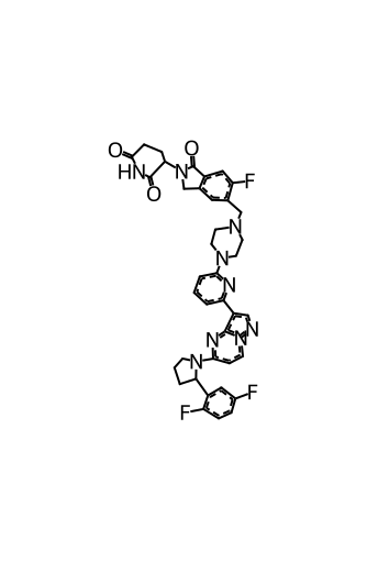 O=C1CCC(N2Cc3cc(CN4CCN(c5cccc(-c6cnn7ccc(N8CCCC8c8cc(F)ccc8F)nc67)n5)CC4)c(F)cc3C2=O)C(=O)N1